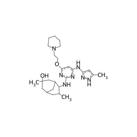 Cc1cc(Nc2cc(OCCN3CCCCC3)nc(NC3C(C)CC4CC3CC(C)(O)C4)n2)n[nH]1